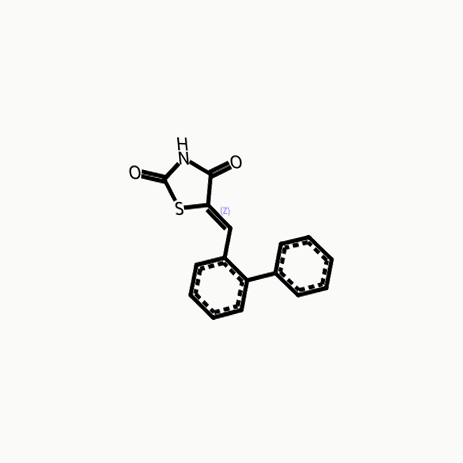 O=C1NC(=O)/C(=C/c2ccccc2-c2ccccc2)S1